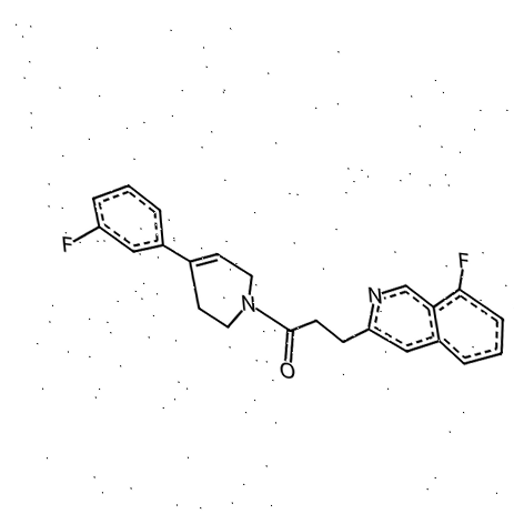 O=C(CCc1cc2cccc(F)c2cn1)N1CC=C(c2cccc(F)c2)CC1